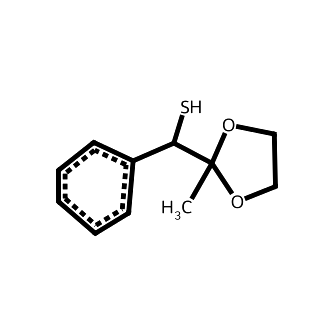 CC1(C(S)c2ccccc2)OCCO1